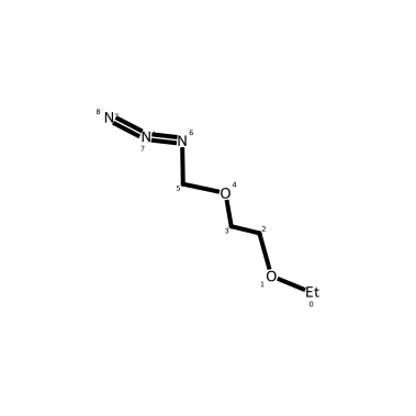 CCOCCOCN=[N+]=[N-]